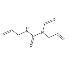 C=CCNC(=O)N([C]=O)CC=C